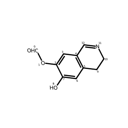 O=COc1cc2c(cc1O)CCN=C2